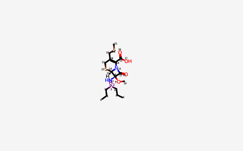 CCC[PH2](CCC)N[C@]1(OC)C(=O)N2C(C(=O)O)=C(CSC)CS[C@H]21